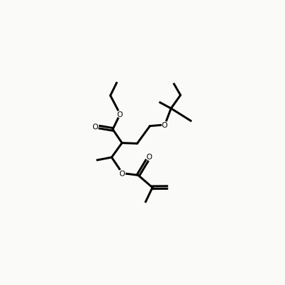 C=C(C)C(=O)OC(C)C(CCOC(C)(C)CC)C(=O)OCC